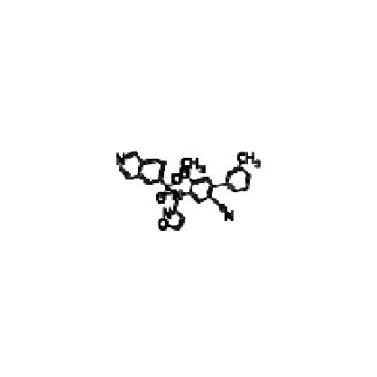 COc1cc(-c2cccc(C)c2)c(C#N)cc1N(c1ccon1)S(=O)(=O)c1ccc2cnccc2c1